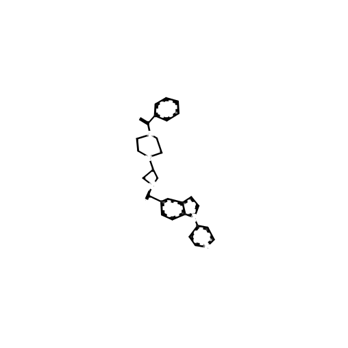 O=C(c1ccccc1)N1CCN(C2CN(C(=O)c3ccc4c(ccn4-c4ccncc4)c3)C2)CC1